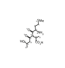 CSCCC(N)C(=O)N(C(=O)CC(C)O)C(C)C(=O)O